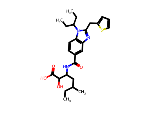 CCC(C)CC(NC(=O)c1ccc2c(c1)nc(Cc1cccs1)n2C(CC)CC)C(O)C(=O)O